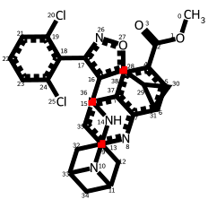 COC(=O)c1ccc2nc(N3C4CC(NCc5c(-c6c(Cl)cccc6Cl)noc5C5CC5)CC3C4)cnc2c1